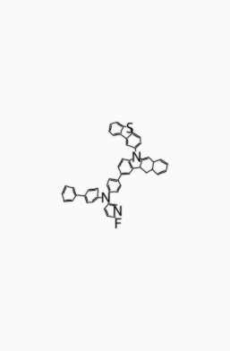 Fc1ccc(N(c2ccc(-c3ccccc3)cc2)c2ccc(-c3ccc4c(c3)C3CC5C=CC=CC5C=C3N4c3ccc4sc5ccccc5c4c3)cc2)cn1